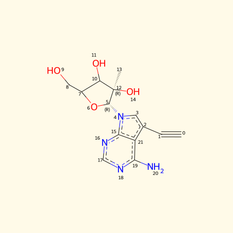 C#Cc1cn([C@@H]2OC(CO)C(O)[C@@]2(C)O)c2ncnc(N)c12